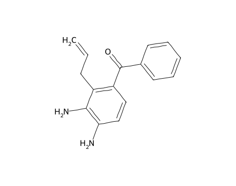 C=CCc1c(C(=O)c2ccccc2)ccc(N)c1N